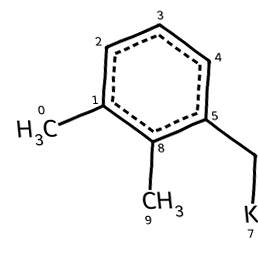 Cc1cccc([CH2][K])c1C